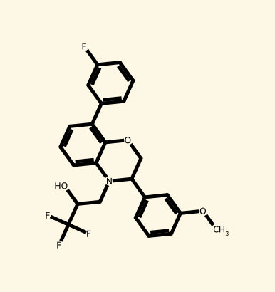 COc1cccc(C2COc3c(-c4cccc(F)c4)cccc3N2CC(O)C(F)(F)F)c1